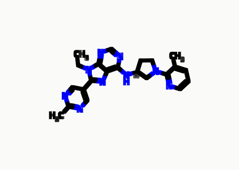 CCn1c(-c2cnc(C)nc2)nc2c(N[C@H]3CCN(c4ncccc4C)C3)ncnc21